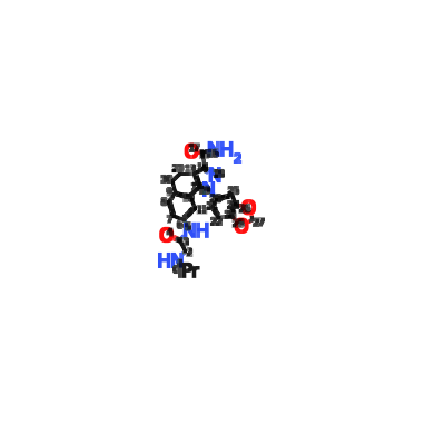 CC(C)NCC(=O)Nc1ccc2c(c1)-c1c(c(C(N)=O)nn1-c1ccc3c(c1)OCO3)CC2